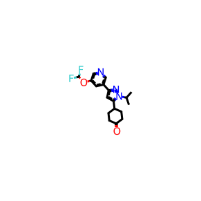 CC(C)n1nc(-c2cncc(OC(F)F)c2)cc1C1CCC(=O)CC1